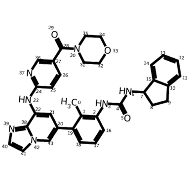 Cc1c(NC(=O)NC2CCc3ccccc32)cccc1-c1cc(Nc2ccc(C(=O)N3CCOCC3)cn2)c2nccn2c1